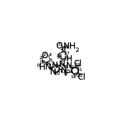 C[C@@H]1COCC[C@@H]1Nc1ncc2nc(Nc3c(F)cc(Cl)cc3Cl)n(C3CCC(C(N)=O)CC3)c2n1